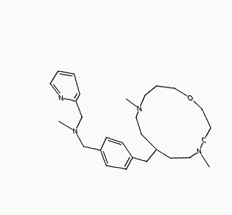 CN1CCCOCCCN(C)CCC(Cc2ccc(CN(C)Cc3ccccn3)cc2)CC1